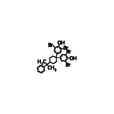 CC(C)(c1ccccc1)C1CCC(c2cc(Br)c(O)c(Br)c2)(c2cc(Br)c(O)c(Br)c2)CC1